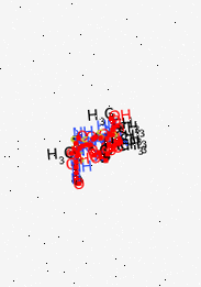 CO/C(C)=C(/NC(=O)C[C@@H](C)O)c1nc(C(=O)N[C@@H]2c3nc(cs3)C(=O)N[C@H](c3nc(-c4nc(-c5nc(C(=O)NCCCN6CCOCC6)cs5)c(OC)cc4-c4nc(C(N)=O)cs4)cs3)COC(=O)c3c4c5c(cccc5n3O)COC(=O)[C@@H](O[C@H]3C[C@](C)(O)[C@H](N(C)C)[C@H](C)O3)[C@H]2OC4)cs1